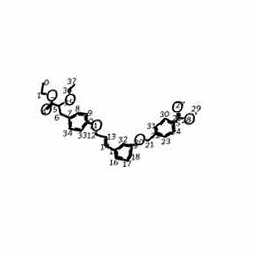 CCOC(=O)C(Cc1ccc(OCC=Cc2cccc(OCc3ccc(C(=O)OC)cc3)c2)cc1)OCC